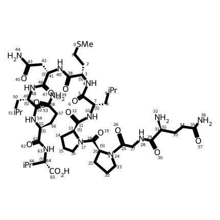 CSCC[C@H](NC(=O)[C@H](CC(C)C)NC(=O)[C@@H]1CCCN1C(=O)[C@@H]1CCCN1C(=O)CNC(=O)[C@@H](N)CCC(N)=O)C(=O)N[C@@H](CC(N)=O)C(=O)N[C@@H](CC(C)C)C(=O)N[C@@H](CCC(N)=O)C(=O)N[C@H](C(=O)O)C(C)C